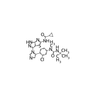 CN(C(=O)NC(C)(C)C)c1ccc(-c2cncn2-c2n[nH]c3nc(NC(=O)C4CC4)sc23)c(Cl)c1